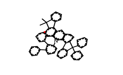 CC1(C)c2ccccc2-c2cc(N(c3cccc(-c4ccccc4)c3-c3ccccc3-c3ccccc3)c3cccc4c3-c3ccccc3C4(c3ccccc3)c3ccccc3)ccc21